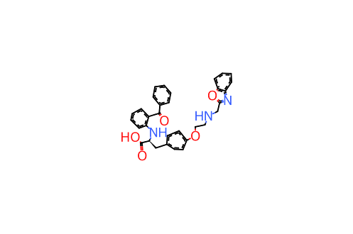 O=C(c1ccccc1)c1ccccc1N[C@@H](Cc1ccc(OCCNCc2nc3ccccc3o2)cc1)C(=O)O